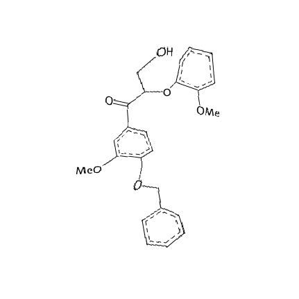 COc1cc(C(=O)C(CO)Oc2ccccc2OC)ccc1OCc1ccccc1